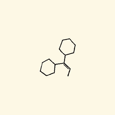 CC=C(C1CCCCC1)C1CCCCC1